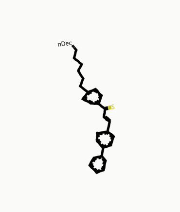 CCCCCCCCCCCCCCCCc1ccc(C(=S)C=Cc2ccc(-c3ccccc3)cc2)cc1